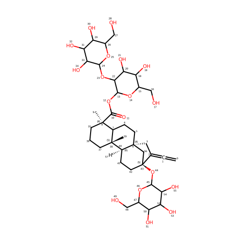 C=C=C1C[C@@]23CCC4[C@](C)(C(=O)OC5OC(CO)C(O)C(O)C5OC5OC(CO)C(O)C(O)C5O)CCC[C@@]4(C)[C@@H]2CC[C@]1(OC1OC(CO)C(O)C(O)C1O)C3